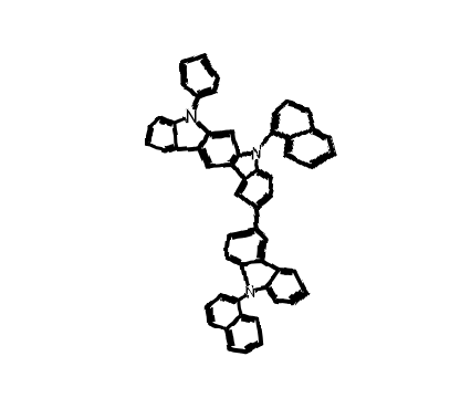 c1ccc(-n2c3ccccc3c3cc4c5cc(-c6ccc7c(c6)c6ccccc6n7-c6cccc7ccccc67)ccc5n(-c5cccc6ccccc56)c4cc32)cc1